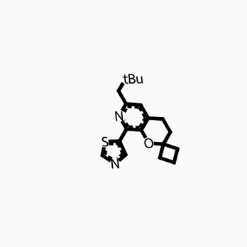 CC(C)(C)Cc1cc2c(c(-c3cncs3)n1)OC1(CCC1)CC2